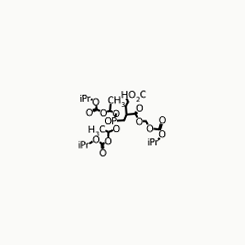 CC(C)OC(=O)OCOC(=O)C(CCC(=O)O)CP(=O)(OC(C)OC(=O)OC(C)C)OC(C)OC(=O)OC(C)C